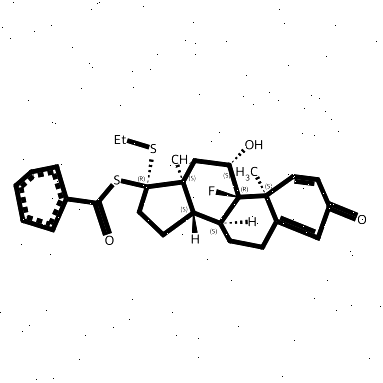 CCS[C@@]1(SC(=O)c2ccccc2)CC[C@H]2[C@@H]3CCC4=CC(=O)C=C[C@]4(C)[C@@]3(F)[C@@H](O)C[C@@]21C